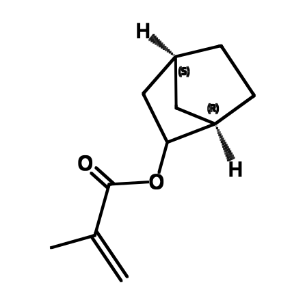 C=C(C)C(=O)OC1C[C@H]2CC[C@@H]1C2